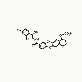 O=C(O)OC1CCOc2cc(Oc3ccc(C(=O)NCC(O)c4ccc(Cl)cc4Cl)cc3)c(Cl)cc21